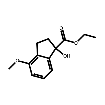 CCOC(=O)C1(O)CCc2c(OC)cccc21